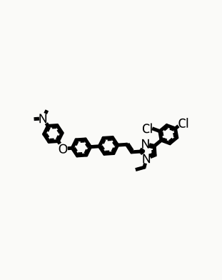 CCn1cc(-c2ccc(Cl)cc2Cl)nc1C=Cc1ccc(-c2ccc(Oc3ccc(N(C)C)cc3)cc2)cc1